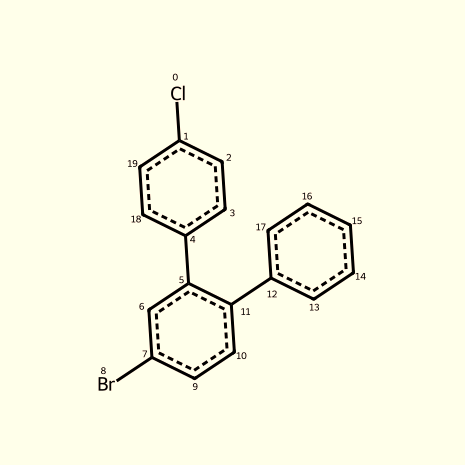 Clc1ccc(-c2cc(Br)ccc2-c2ccccc2)cc1